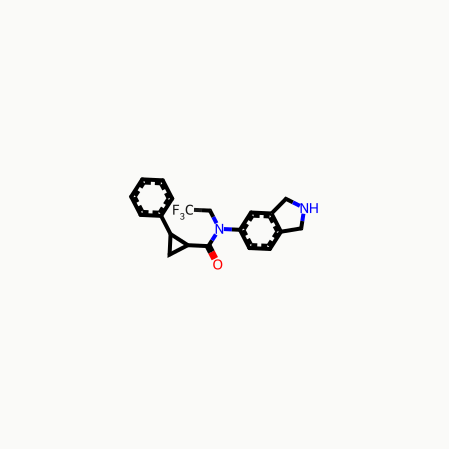 O=C(C1CC1c1ccccc1)N(CC(F)(F)F)c1ccc2c(c1)CNC2